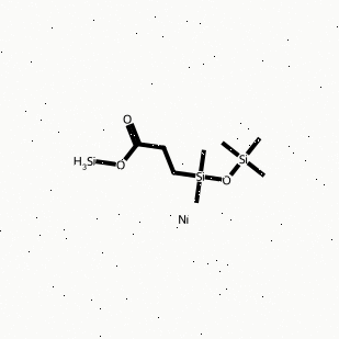 C[Si](C)(C)O[Si](C)(C)CCC(=O)O[SiH3].[Ni]